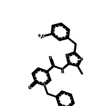 Cc1nc(Cc2cccc(C(F)(F)F)c2)sc1NC(=O)c1ccc(=O)n(Cc2ccccc2)c1